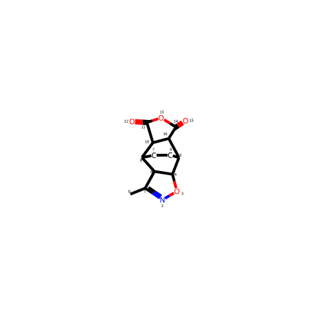 CC1=NOC2C3CCC(C12)C1C(=O)OC(=O)C31